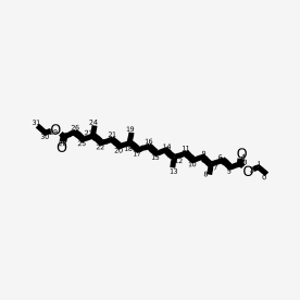 CCOC(=O)/C=C/C(C)=C/C=C/C(C)=C/C=C/C=C(C)/C=C/C=C(C)/C=C/C(=O)OCC